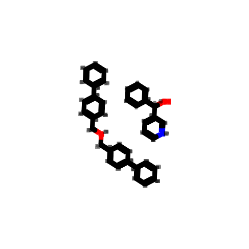 OC(c1ccccc1)c1cccnc1.c1ccc(-c2ccc(COCc3ccc(-c4ccccc4)cc3)cc2)cc1